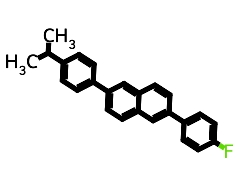 CC(C)c1ccc(-c2ccc3cc(-c4ccc(F)cc4)ccc3c2)cc1